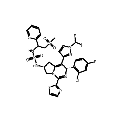 CS(=O)(=O)CC(NS(=O)(=O)N[C@H]1CC2=C(c3ccn(C(F)F)n3)[C@H](c3ccc(F)cc3Cl)N=C(c3nccs3)N2C1)c1ccccn1